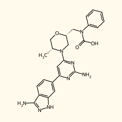 C[C@@H]1CO[C@H](CN(C(=O)O)c2ccccc2)CN1c1cc(-c2ccc3c(N)n[nH]c3c2)nc(N)n1